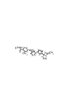 CCNC(=O)c1ccc(Nc2nccc(-c3cnn(C4(CC#N)CN(C)C4)c3)n2)cc1C